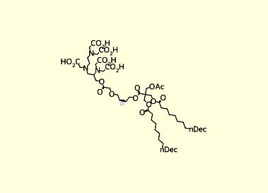 CCCCCCCCCCCCCCCCCC(=O)OCC(COC(C)=O)(COC(=O)CCCCCCCCCCCCCCCCC)C(=O)OC/C=C\COCC(=O)OCC(CN(CCN(CC(=O)O)CC(=O)O)CC(=O)O)N(CC(=O)O)CC(=O)O